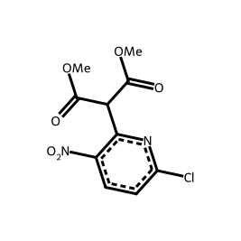 COC(=O)C(C(=O)OC)c1nc(Cl)ccc1[N+](=O)[O-]